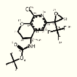 CC(C)(C)OC(=O)N[C@@]1(C)CCOc2c1cc(C1(C(F)(F)F)CO1)nc2Cl